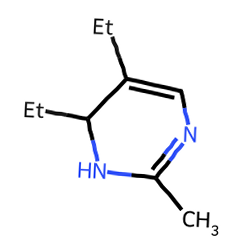 CCC1=CN=C(C)NC1CC